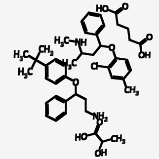 CC(C)(C)c1ccc(OC(CCN)c2ccccc2)cc1.CC(O)C(=O)O.CNC(C)CC(Oc1ccc(C)cc1Cl)c1ccccc1.O=C(O)CCCC(=O)O